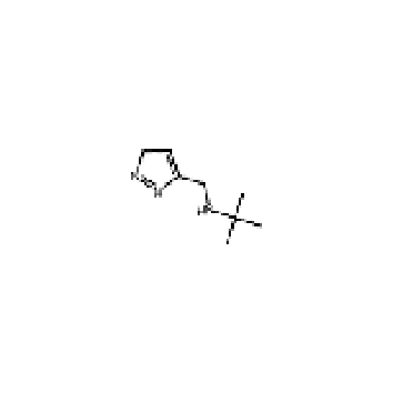 CC(C)(C)NCC1=CCN=N1